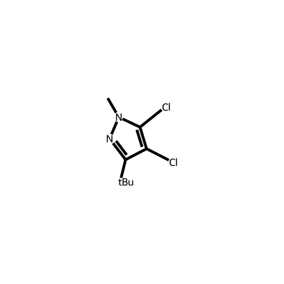 Cn1nc(C(C)(C)C)c(Cl)c1Cl